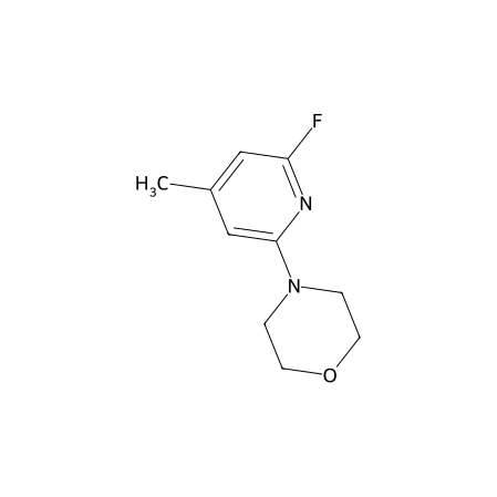 Cc1cc(F)nc(N2CCOCC2)c1